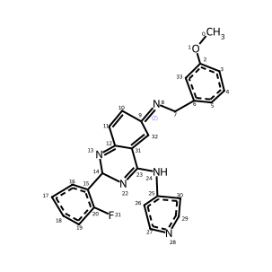 COc1cccc(C/N=C2/C=CC3=NC(c4ccccc4F)N=C(Nc4ccncc4)C3=C2)c1